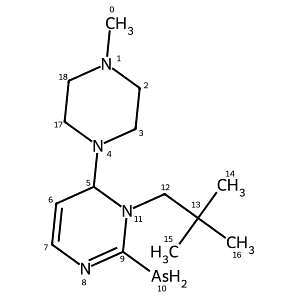 CN1CCN(C2C=CN=C([AsH2])N2CC(C)(C)C)CC1